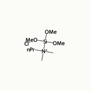 CCC[N+](C)(C)[Si](OC)(OC)OC.[Cl-]